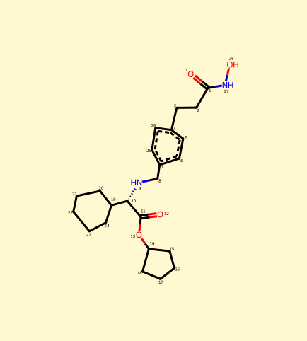 O=C(CCc1ccc(CN[C@H](C(=O)OC2CCCC2)C2CCCCC2)cc1)NO